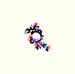 C=CC(=O)N1CC[C@H](C(=O)N(C)[C@H](C(=O)N[C@H]2Cc3nc(cs3)-c3ccc4c(c3)c(c(-c3cc(C5=CCN(C)CC5)cnc3[C@H](C)OC)n4CC)CC(C)(C)COC(=O)[C@@H]3CCCN(N3)C2=O)C(C)C)C1